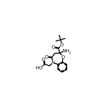 CC(C)(C)OC(=O)C1(N)CC(=O)N(CC(=O)O)c2ccccc2O1